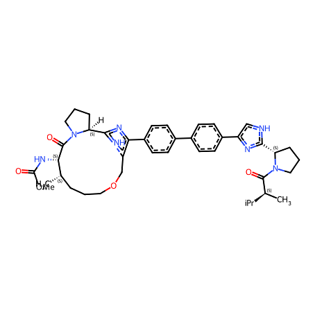 COC(=O)N[C@@H]1C(=O)N2CCC[C@H]2c2nc(-c3ccc(-c4ccc(-c5c[nH]c([C@@H]6CCCN6C(=O)[C@@H](C)C(C)C)n5)cc4)cc3)c([nH]2)COCCC[C@@H]1C